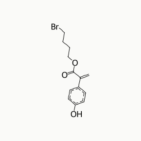 C=C(C(=O)OCCCCBr)c1ccc(O)cc1